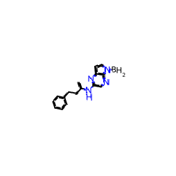 Bn1ccc2nc(NC(=C)CCc3ccccc3)cnc21